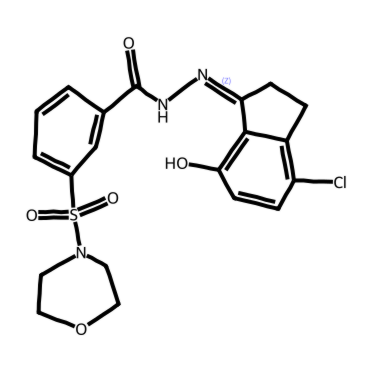 O=C(N/N=C1/CCc2c(Cl)ccc(O)c21)c1cccc(S(=O)(=O)N2CCOCC2)c1